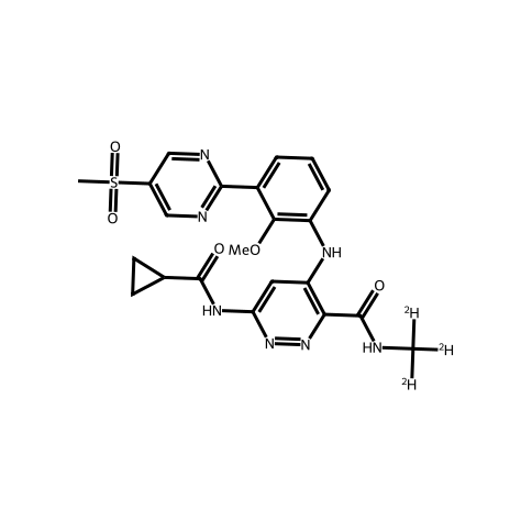 [2H]C([2H])([2H])NC(=O)c1nnc(NC(=O)C2CC2)cc1Nc1cccc(-c2ncc(S(C)(=O)=O)cn2)c1OC